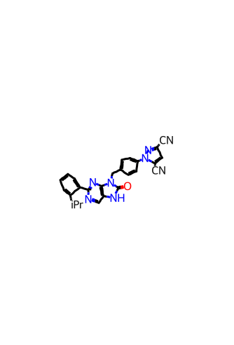 CC(C)c1ccccc1-c1ncc2[nH]c(=O)n(Cc3ccc(-n4nc(C#N)cc4C#N)cc3)c2n1